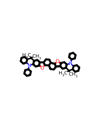 CC1(C)c2ccccc2N(c2ccccc2)c2cc3oc4c(ccc5c4ccc4c6cc7c(cc6oc45)N(c4ccccc4)c4ccccc4C7(C)C)c3cc21